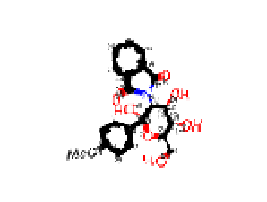 COc1ccc([C@]2(O)O[C@H](CO)[C@@H](O)[C@H](O)[C@@H]2N2C(=O)c3ccccc3C2=O)cc1